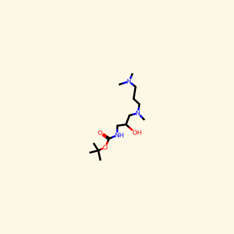 CN(C)CCCN(C)CC(O)CNC(=O)OC(C)(C)C